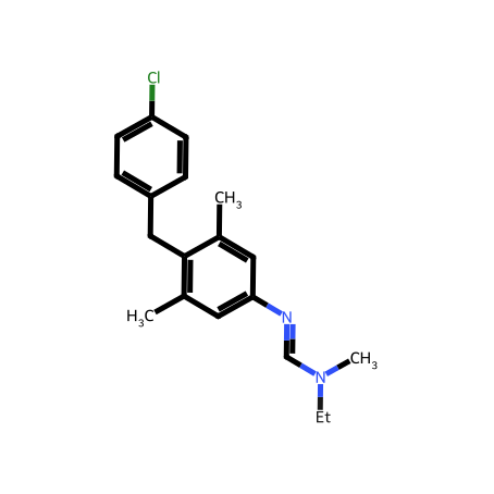 CCN(C)C=Nc1cc(C)c(Cc2ccc(Cl)cc2)c(C)c1